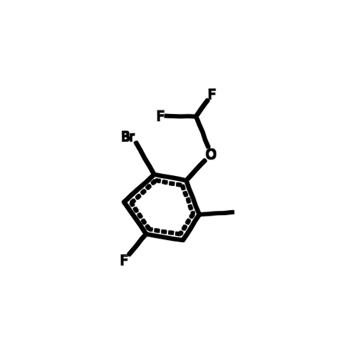 Cc1cc(F)cc(Br)c1OC(F)F